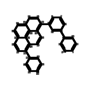 c1cncc(-c2cccc(-c3ccc4ccc5ccc(-c6ccncc6)c6ccc3c4c56)c2)c1